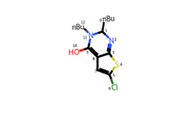 CCCCC1N=c2sc(Cl)cc2=C(O)N1CCCC